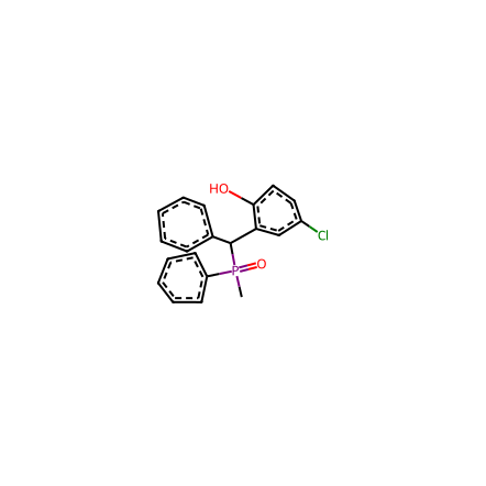 CP(=O)(c1ccccc1)C(c1ccccc1)c1cc(Cl)ccc1O